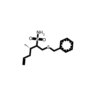 C=CC[C@H](C)C(CSCc1ccccc1)S(N)(=O)=O